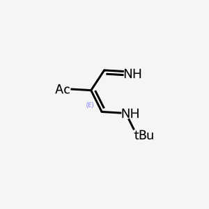 CC(=O)/C(C=N)=C/NC(C)(C)C